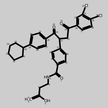 C=C(O)CCNC(=O)c1ccc(C(CC(=O)c2ccc(Cl)c(Cl)c2)C(=O)c2ccc(C3CCCCC3)cc2)cc1